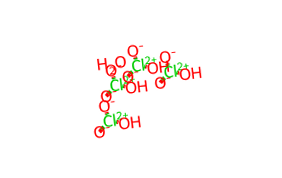 O.[O-][Cl+2]([O-])O.[O-][Cl+2]([O-])O.[O-][Cl+2]([O-])O.[O-][Cl+2]([O-])O